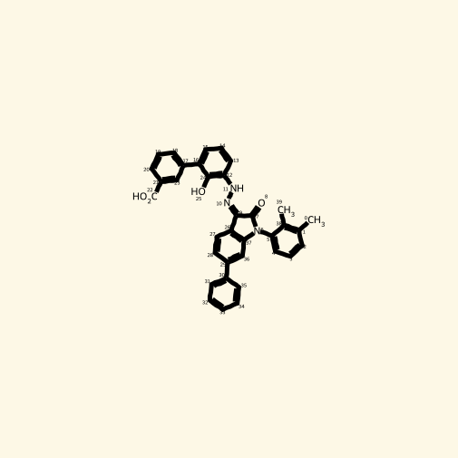 Cc1cccc(N2C(=O)C(=NNc3cccc(-c4cccc(C(=O)O)c4)c3O)c3ccc(-c4ccccc4)cc32)c1C